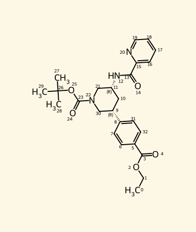 CCOC(=O)c1ccc([C@H]2C[C@@H](NC(=O)c3ccccn3)CN(C(=O)OC(C)(C)C)C2)cc1